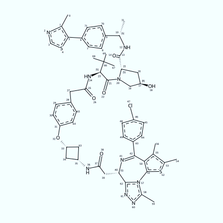 Cc1ncsc1-c1ccc([C@H](C)NC(=O)[C@@H]2C[C@@H](O)CN2C(=O)[C@@H](NC(=O)Cc2ccc(O[C@H]3C[C@@H](NC(=O)C[C@@H]4N=C(c5ccc(Cl)cc5)c5c(sc(C)c5C)-n5c(C)nnc54)C3)cc2)C(C)(C)C)cc1